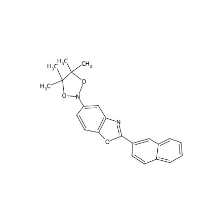 CC1(C)ON(c2ccc3oc(-c4ccc5ccccc5c4)nc3c2)OC1(C)C